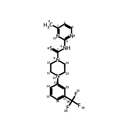 Cc1ccnc(NC(=S)N2CCN(c3cccc(C(F)(F)F)c3)CC2)n1